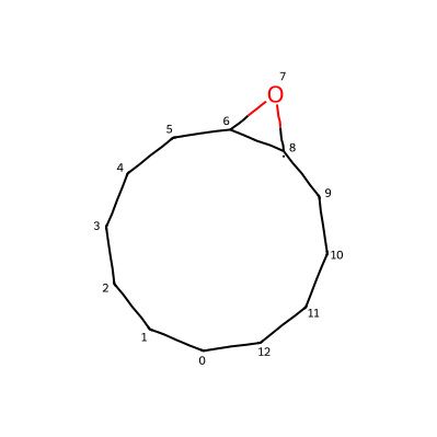 C1CCCCCC2O[C]2CCCC1